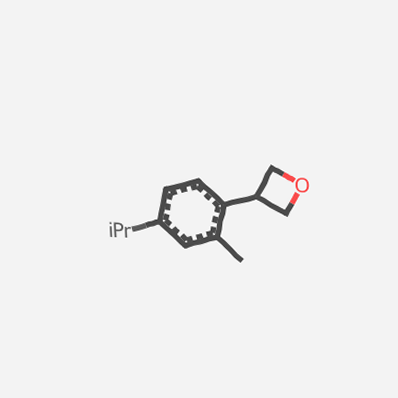 Cc1cc(C(C)C)ccc1C1COC1